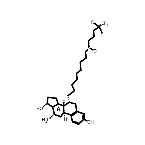 C[C@@H]1C[C@@H]2c3ccc(O)cc3C[C@@H](CCCCCCCCC[S+]([O-])CCCC(F)(F)C(F)(F)F)[C@H]2[C@@H]2CC[C@H](O)C12